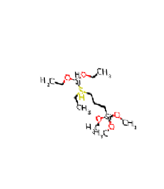 CCO[SiH](OCC)[SH](CC)CCC[Si](OC)(OC)OC